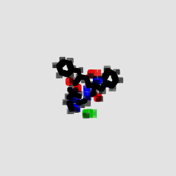 CC(C)(C)OC(=O)[C@@H](Cc1ccccc1)[C@@H](O)C[C@](N)(Cc1ccccc1)C(=O)NCc1ncc[nH]1.Cl